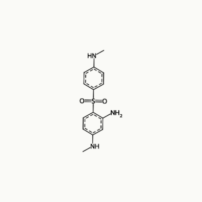 CNc1ccc(S(=O)(=O)c2ccc(NC)cc2N)cc1